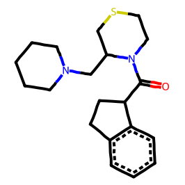 O=C(C1CCc2ccccc21)N1CCSCC1CN1CCCCC1